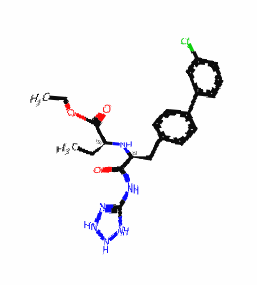 CCOC(=O)[C@H](CC)N[C@@H](Cc1ccc(-c2cccc(Cl)c2)cc1)C(=O)NC1=NNNN1